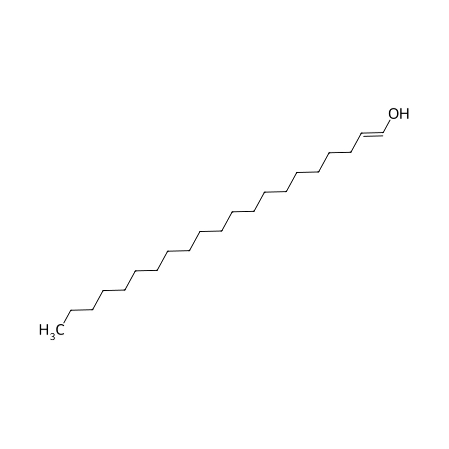 CCCCCCCCCCCCCCCCCCCC=CO